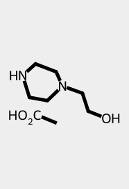 CC(=O)O.OCCN1CCNCC1